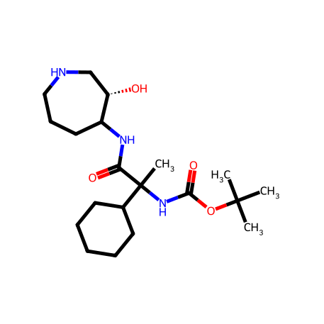 CC(C)(C)OC(=O)NC(C)(C(=O)NC1CCCNC[C@@H]1O)C1CCCCC1